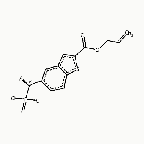 C=CCOC(=O)c1cc2cc([C@H](F)P(=O)(Cl)Cl)ccc2s1